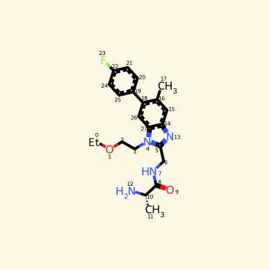 CCOCCn1c(CNC(=O)[C@H](C)N)nc2cc(C)c(-c3ccc(F)cc3)cc21